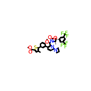 COC(=O)c1cc(C)c(C2C=C(c3ccc(N4CCC4)nc3CN3C(=O)O[C@H](c4cc(C(F)(F)F)cc(C(F)(F)F)c4)[C@@H]3C)C(OC)=CC2)s1